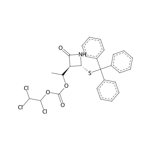 CC(OC(=O)OC(Cl)C(Cl)Cl)[C@H]1C(=O)N[C@@H]1SC(c1ccccc1)(c1ccccc1)c1ccccc1